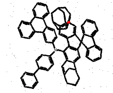 C1=C2CCCC(C2)c2cc3c(c(N(c4ccc(-c5ccccc5)cc4)c4ccc5c6ccccc6c6ccccc6c5c4)c21)-c1cc2c(cc1C31c3ccccc3-c3ccccc31)C1CC3CC(CC2C3)C1